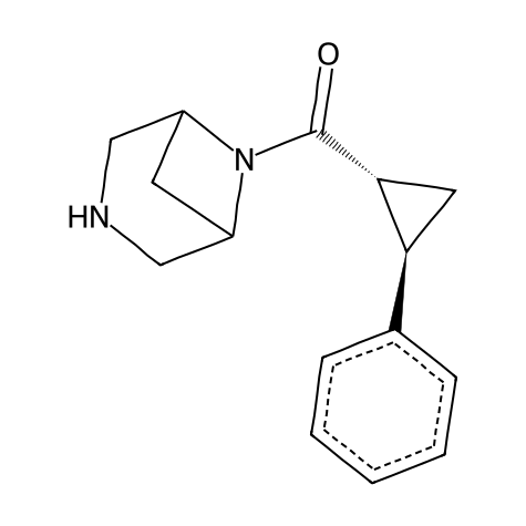 O=C([C@@H]1C[C@H]1c1ccccc1)N1C2CNCC1C2